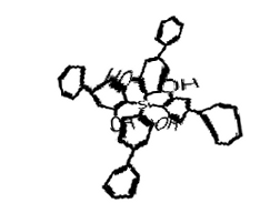 Oc1cc(-c2ccccc2)ccc1[Si](c1ccc(-c2ccccc2)cc1O)(c1ccc(-c2ccccc2)cc1O)c1ccc(-c2ccccc2)cc1O